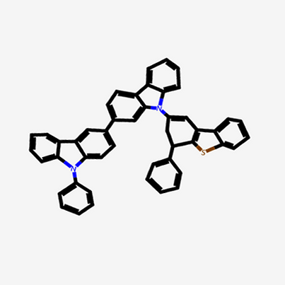 C1=C(n2c3ccccc3c3ccc(-c4ccc5c(c4)c4ccccc4n5-c4ccccc4)cc32)CC(c2ccccc2)c2sc3ccccc3c21